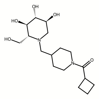 O=C(C1CCC1)N1CCC(CN2C[C@H](O)[C@@H](O)[C@H](O)[C@H]2CO)CC1